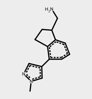 Cn1cc(-c2cccc3c2CCC3CN)cn1